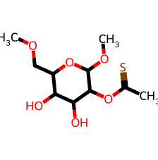 COCC1OC(OC)C(OC(C)=S)C(O)C1O